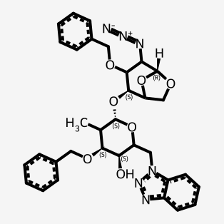 CC1[C@H](O[C@@H]2C3CO[C@H](O3)C(N=[N+]=[N-])C2OCc2ccccc2)OC(Cn2nnc3ccccc32)[C@@H](O)[C@H]1OCc1ccccc1